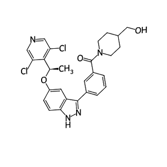 C[C@@H](Oc1ccc2[nH]nc(-c3cccc(C(=O)N4CCC(CO)CC4)c3)c2c1)c1c(Cl)cncc1Cl